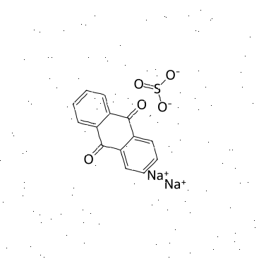 O=C1c2ccccc2C(=O)c2ccccc21.O=S([O-])[O-].[Na+].[Na+]